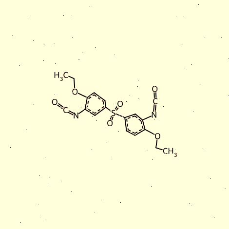 CCOc1ccc(S(=O)(=O)c2ccc(OCC)c(N=C=O)c2)cc1N=C=O